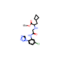 CC(C)(C)OC(=O)C(CC1CCC1)NCC(=O)Nc1cc(Cl)ccc1-n1cnnn1